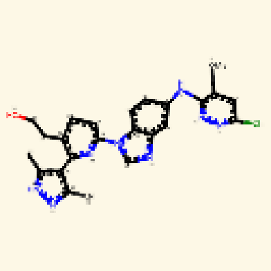 COc1cc(Cl)nnc1Nc1ccc2c(c1)ncn2-c1ccc(CCO)c(-c2c(C#N)n[nH]c2C)n1